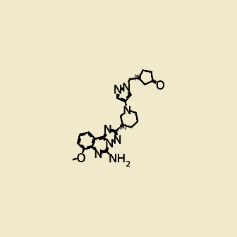 COc1cccc2c1nc(N)n1nc([C@@H]3CCCN(c4cnn(C[C@H]5CCC(=O)C5)c4)C3)nc21